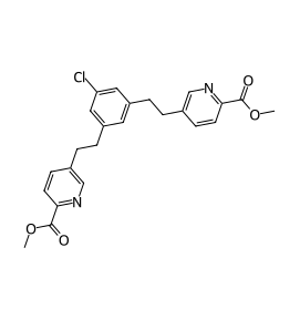 COC(=O)c1ccc(CCc2cc(Cl)cc(CCc3ccc(C(=O)OC)nc3)c2)cn1